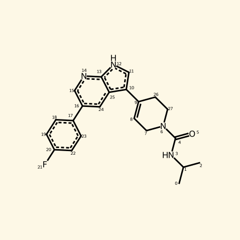 CC(C)NC(=O)N1CC=C(c2c[nH]c3ncc(-c4ccc(F)cc4)cc23)CC1